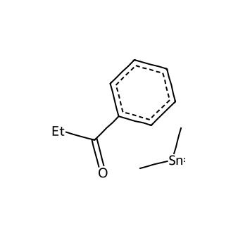 CCC(=O)c1ccccc1.[CH3][Sn][CH3]